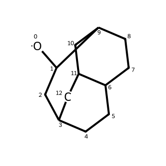 [O]C1CC2CCC3CCC1CC3C2